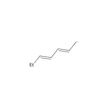 [CH]C/C=C/C=C/[CH2]